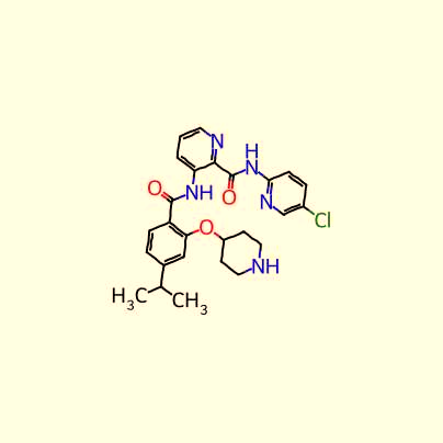 CC(C)c1ccc(C(=O)Nc2cccnc2C(=O)Nc2ccc(Cl)cn2)c(OC2CCNCC2)c1